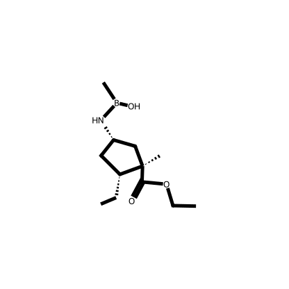 CCOC(=O)[C@]1(C)C[C@@H](NB(C)O)C[C@H]1CC